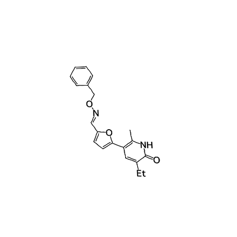 CCc1cc(-c2ccc(C=NOCc3ccccc3)o2)c(C)[nH]c1=O